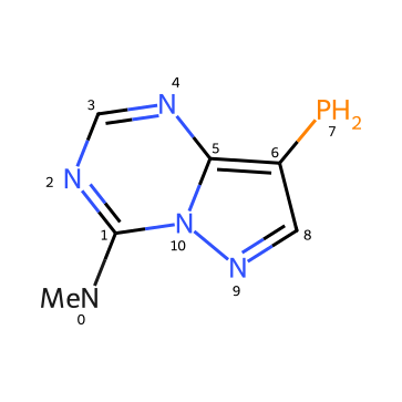 CNc1ncnc2c(P)cnn12